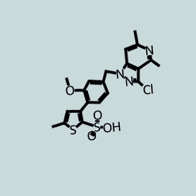 COc1cc(Cn2nc(Cl)c3c(C)nc(C)cc32)ccc1-c1cc(C)sc1S(=O)(=O)O